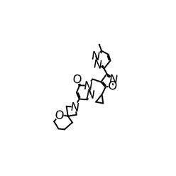 Cc1ccc(-c2noc(C3CC3)c2Cn2ncc(N3CC4(CCCCO4)C3)cc2=O)nn1